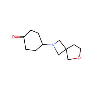 O=C1CCC(N2CC3(CCOC3)C2)CC1